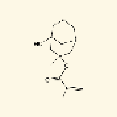 C=C(C)C(=O)OC1(C)CC2CCCC(O)(C2)C1